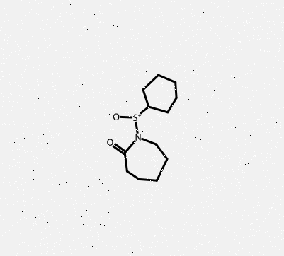 O=C1CCCCCN1[S+]([O-])C1CCCCC1